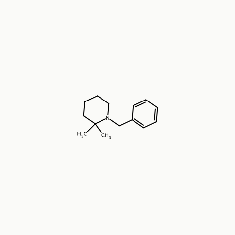 CC1(C)CCCCN1Cc1ccccc1